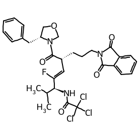 CC(C)[C@H](NC(=O)C(Cl)(Cl)Cl)/C(F)=C/[C@@H](CCCN1C(=O)c2ccccc2C1=O)C(=O)N1COC[C@H]1Cc1ccccc1